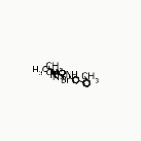 Cc1ccccc1-c1ccc(CNc2ccc3c(nnn3CC(C)(C)C)c2Br)cc1